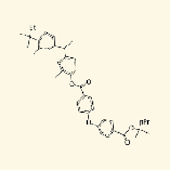 CCCC(C)(C)OC(=O)c1ccc(Oc2ccc(C(=O)Oc3ccc(C(C)c4ccc(C(C)(C)CC)c(C)c4)cc3C)cc2)cc1